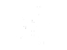 O=C(O)C[C@@H]1C(=O)N(c2nc(-c3ccccc3Cl)cs2)C[C@H](O)CC[C@@H]1c1ccccc1